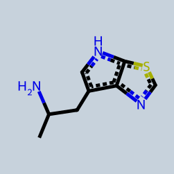 CC(N)Cc1c[nH]c2scnc12